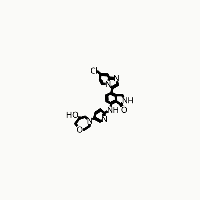 O=C1NCc2c(-c3cnc4cc(Cl)ccn34)ccc(Nc3ccc(N4CCOC[C@H](O)C4)cn3)c21